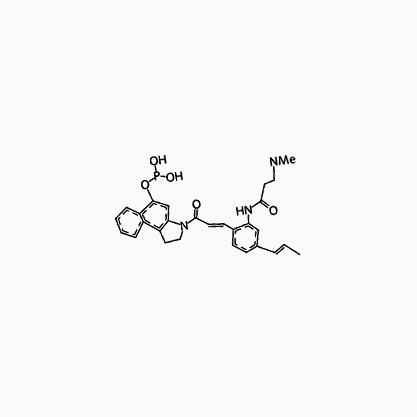 C/C=C/c1ccc(/C=C/C(=O)N2CCc3c2cc(OP(O)O)c2ccccc32)c(NC(=O)CCNC)c1